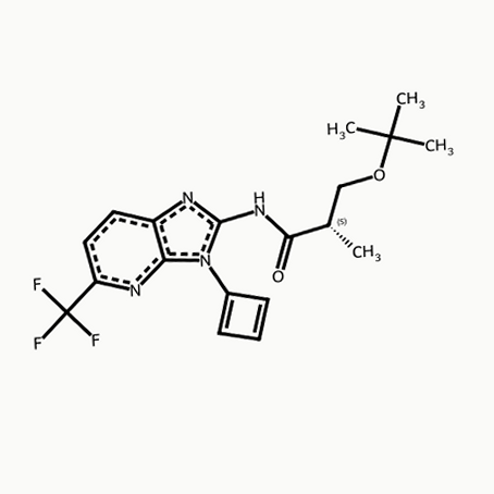 C[C@@H](COC(C)(C)C)C(=O)Nc1nc2ccc(C(F)(F)F)nc2n1C1=CC=C1